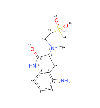 Nc1cccc2c1CC(N1CCS(=O)(=O)CC1)C(=O)N2